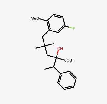 COc1ccc(F)cc1CC(C)(C)CC(O)(C(=O)O)C(C)c1ccccc1